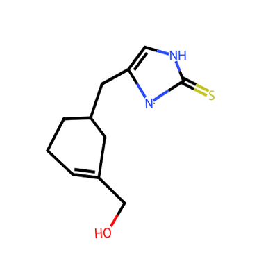 OCC1=CCCC(CC2=CNC(=S)[N]2)C1